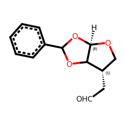 O=CC[C@H]1CO[C@@H]2OC(c3ccccc3)OC12